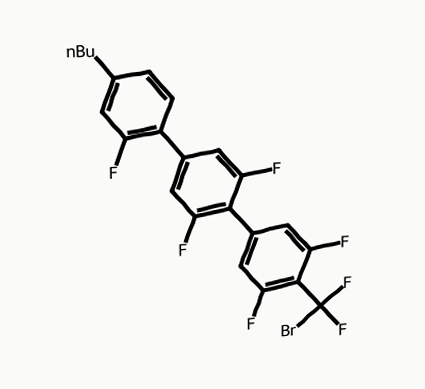 CCCCc1ccc(-c2cc(F)c(-c3cc(F)c(C(F)(F)Br)c(F)c3)c(F)c2)c(F)c1